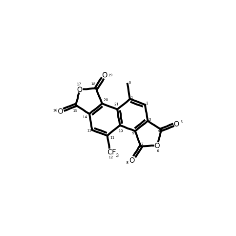 Cc1cc2c(=O)oc(=O)c2c2c(C(F)(F)F)cc3c(=O)oc(=O)c3c12